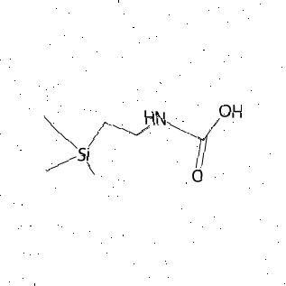 C[Si](C)(C)CCNC(=O)O